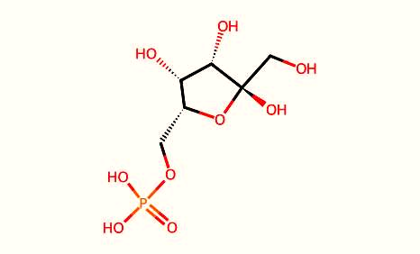 O=P(O)(O)OC[C@H]1O[C@@](O)(CO)[C@@H](O)[C@H]1O